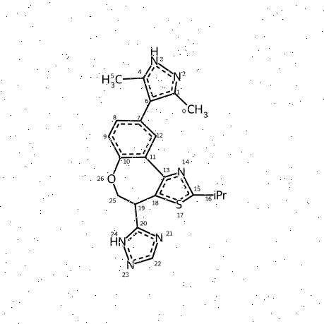 Cc1n[nH]c(C)c1-c1ccc2c(c1)-c1nc(C(C)C)sc1C(c1ncn[nH]1)CO2